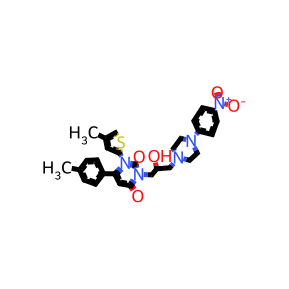 Cc1ccc(-c2cc(=O)n(CC(O)CN3CCN(c4ccc([N+](=O)[O-])cc4)CC3)c(=O)n2-c2cc(C)cs2)cc1